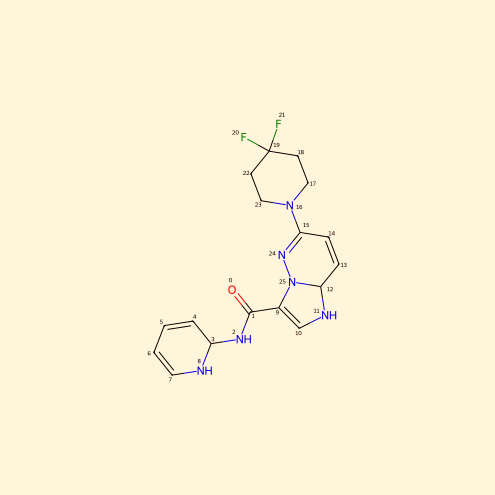 O=C(NC1C=CC=CN1)C1=CNC2C=CC(N3CCC(F)(F)CC3)=NN12